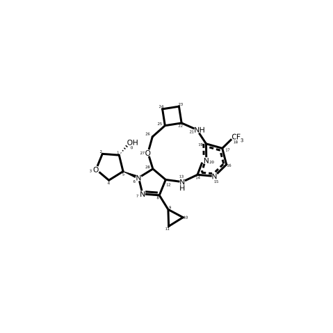 O[C@H]1COC[C@@H]1N1N=C(C2CC2)C2Nc3ncc(C(F)(F)F)c(n3)NC3CCC3COC21